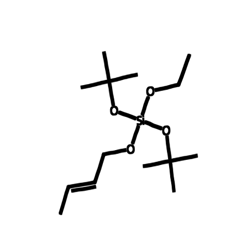 CC=CCO[Si](OCC)(OC(C)(C)C)OC(C)(C)C